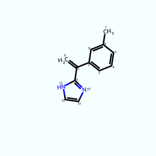 C=C(c1cccc(C)c1)c1ncc[nH]1